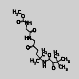 COC(=O)NCC(=O)NCC(=O)CCC(C)(C)NC(=O)C(=O)C(C)(C)C